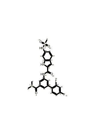 CN(C)C(=O)c1cc(NC(=O)c2cc3ccc(NS(C)(=O)=O)cc3[nH]2)cc(-c2ccc(F)cc2F)c1